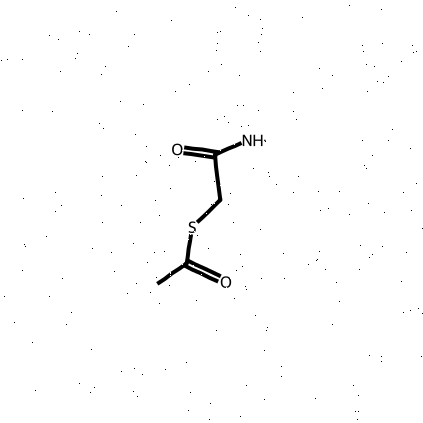 CC(=O)SCC([NH])=O